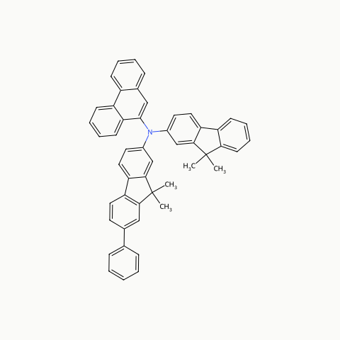 CC1(C)c2ccccc2-c2ccc(N(c3ccc4c(c3)C(C)(C)c3cc(-c5ccccc5)ccc3-4)c3cc4ccccc4c4ccccc34)cc21